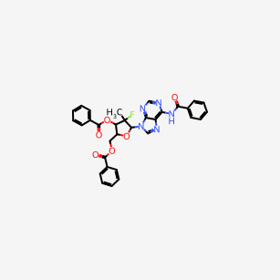 CC1(F)C(OC(=O)c2ccccc2)C(COC(=O)c2ccccc2)OC1n1cnc2c(NC(=O)c3ccccc3)ncnc21